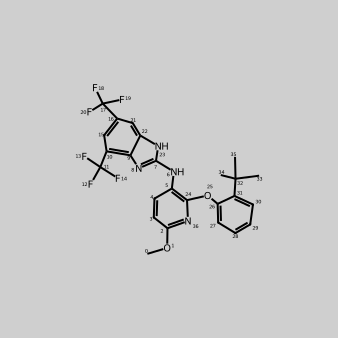 COc1ccc(Nc2nc3c(C(F)(F)F)cc(C(F)(F)F)cc3[nH]2)c(Oc2ccccc2C(C)(C)C)n1